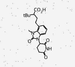 Cn1c(=O)n(C2CCC(=O)NC2=O)c2cccc(CCC(C(=O)O)C(C)(C)C)c21